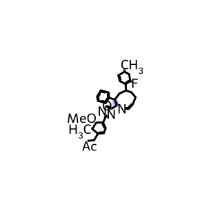 COC1C(c2noc(/C3=C(\c4ccccc4)CC(C4=C(F)CC(C)C=C4)CCC=C=N3)n2)=CC=C(CCC(C)=O)C1C